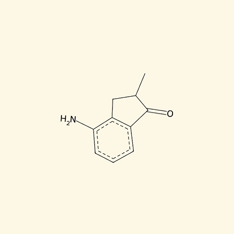 CC1Cc2c(N)cccc2C1=O